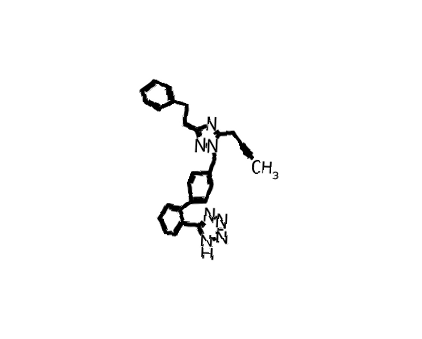 CC#CCc1nc(CCc2ccccc2)nn1Cc1ccc(-c2ccccc2-c2nnn[nH]2)cc1